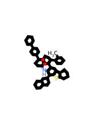 Cc1ccccc1-c1ccccc1-c1cc2c(sc3ccccc32)c(-c2ccc3ccccc3c2)c1Nc1ccc(-c2ccc(-c3ccccc3)cc2)cc1